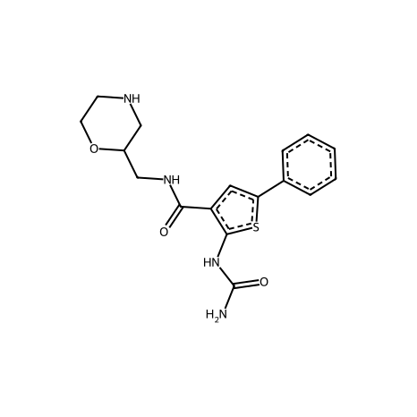 NC(=O)Nc1sc(-c2ccccc2)cc1C(=O)NCC1CNCCO1